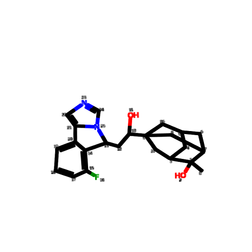 CC1(O)C2CC3CC1CC(C(O)CC1c4c(F)cccc4-c4cncn41)(C3)C2